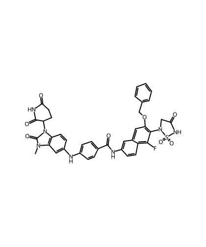 Cn1c(=O)n(C2CCC(=O)NC2=O)c2ccc(Nc3ccc(C(=O)Nc4ccc5c(F)c(N6CC(=O)NS6(=O)=O)c(OCc6ccccc6)cc5c4)cc3)cc21